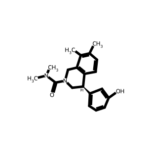 Cc1ccc2c(c1C)CN(C(=O)N(C)C)C[C@@H]2c1cccc(O)c1